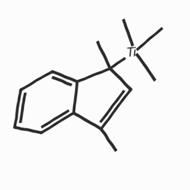 CC1=C[C](C)([Ti]([CH3])([CH3])[CH3])c2ccccc21